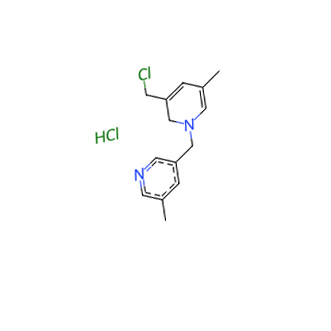 CC1=CN(Cc2cncc(C)c2)CC(CCl)=C1.Cl